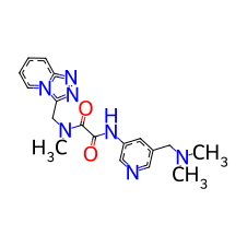 CN(C)Cc1cncc(NC(=O)C(=O)N(C)Cc2nnc3ccccn23)c1